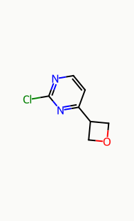 Clc1nccc(C2COC2)n1